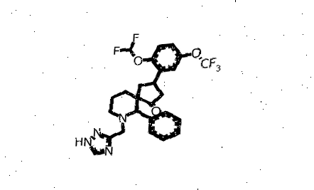 O=C1CC(c2cc(OC(F)(F)F)ccc2OC(F)F)CC12CCCN(Cc1nc[nH]n1)C2c1ccccc1